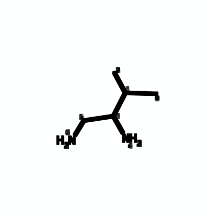 CC(C)C(N)CN